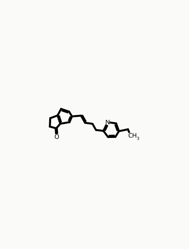 CCc1ccc(CCC=Cc2ccc3c(c2)C(=O)CC3)nc1